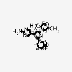 C[C@H]1CN(c2cc(-c3cnc(N)nc3)nc(N3CCCC(F)(F)C3)n2)[C@@H](C)CO1